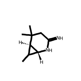 CC1[C@H]2NC(=N)CC(C)(C)[C@H]12